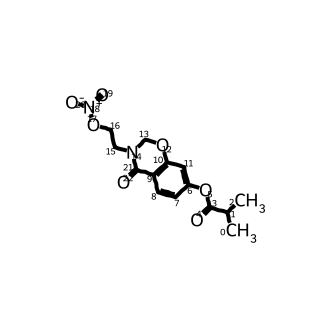 CC(C)C(=O)Oc1ccc2c(c1)OCN(CCO[N+](=O)[O-])C2=O